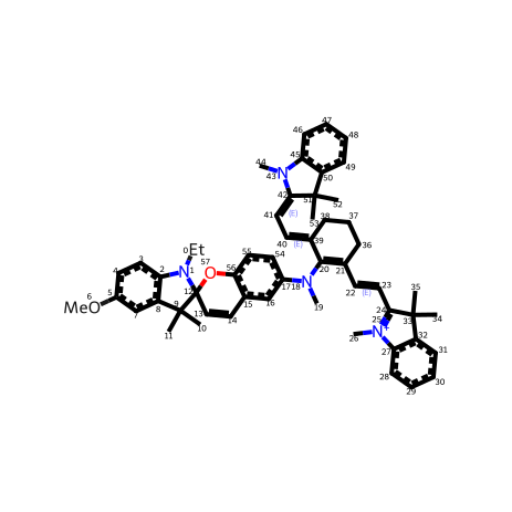 CCN1c2ccc(OC)cc2C(C)(C)C12C=Cc1cc(N(C)C3=C(/C=C/C4=[N+](C)c5ccccc5C4(C)C)CCC/C3=C\C=C3\N(C)c4ccccc4C3(C)C)ccc1O2